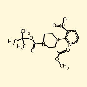 COC(=O)[C@@H]1CN(C(=O)OC(C)(C)C)CCN1c1ncccc1[N+](=O)[O-]